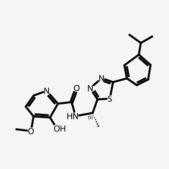 COc1ccnc(C(=O)N[C@@H](C)c2nnc(-c3cccc(C(C)C)c3)s2)c1O